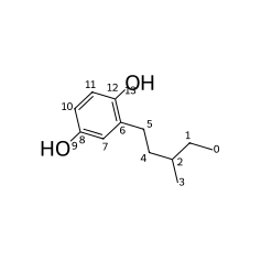 CCC(C)CCc1cc(O)ccc1O